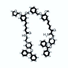 COc1cc(C=CC=CC(=O)C(N)CN2CCC(OC(c3ccccc3)c3ccccc3)CC2)ccc1OCc1ccccc1.COc1cc(C=CC=CC(=O)NCCN2CCC(OC(c3ccccc3)c3ccccc3)CC2)ccc1OC1CCCO1